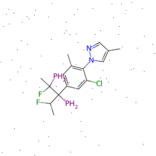 Cc1cnn(-c2c(C)cc(C(P)(C(C)F)C(C)(F)P)cc2Cl)c1